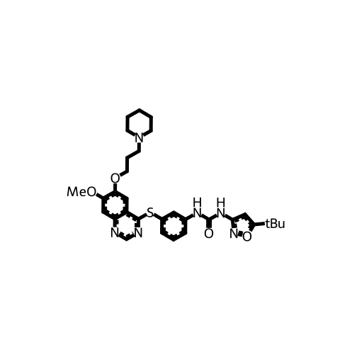 COc1cc2ncnc(Sc3cccc(NC(=O)Nc4cc(C(C)(C)C)on4)c3)c2cc1OCCCN1CCCCC1